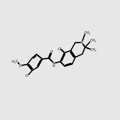 COc1ccc(C(=O)Nc2ccc3c(c2Cl)CN(C)C(C)(C)C3)cc1Cl